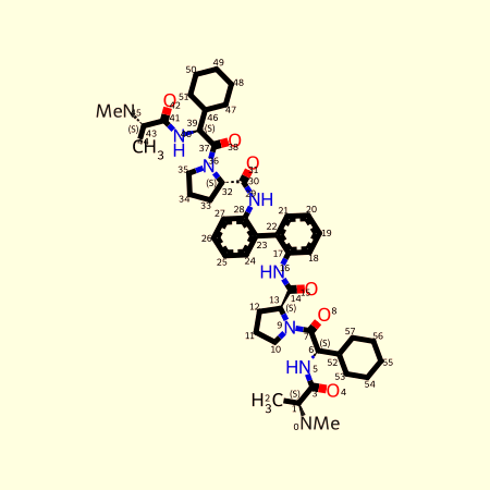 CN[C@@H](C)C(=O)N[C@H](C(=O)N1CCC[C@H]1C(=O)Nc1ccccc1-c1ccccc1NC(=O)[C@@H]1CCCN1C(=O)[C@@H](NC(=O)[C@H](C)NC)C1CCCCC1)C1CCCCC1